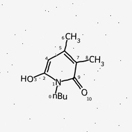 CCCCn1c(O)cc(C)c(C)c1=O